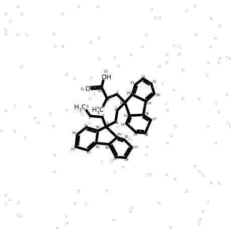 CCCC1(CCC2(CC(C)C(=O)O)c3ccccc3-c3ccccc32)c2ccccc2-c2ccccc21